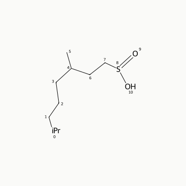 CC(C)CCCC(C)CCS(=O)O